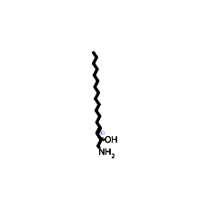 CCCCCCCCCCCCC/C=C/[C@@H](O)CN